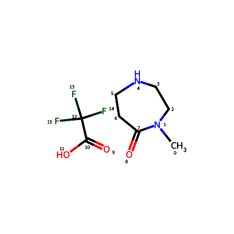 CN1CCNCCC1=O.O=C(O)C(F)(F)F